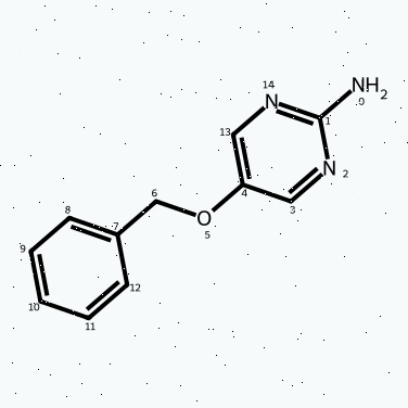 Nc1ncc(OCc2ccccc2)cn1